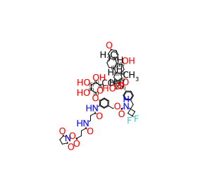 C[C@]12C=CC(=O)C=C1CC[C@@H]1[C@@H]2[C@@H](O)C[C@@]2(C)[C@H]1C[C@H]1O[C@@H](c3ccc(CC4(NC(=O)OCc5ccc(O[C@@H]6O[C@H](C(=O)O)[C@@H](O)[C@H](O)[C@H]6O)c(NC(=O)CCNC(=O)CCC(=O)ON6C(=O)CCC6=O)c5)CC(F)(F)C4)cc3)O[C@]12C(=O)CO